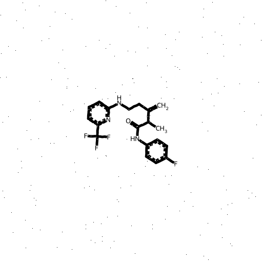 C=C(CCNc1cccc(C(F)(F)F)n1)C(C)C(=O)Nc1ccc(F)cc1